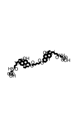 CCCC[C@@H](CC1C[C@@H]2CC[C@@]3(C)[C@H](CC[C@@H]3[C@H](C)CCC(=O)NCCS(=O)(=O)O)C2[C@@H](O)C1)OC(=O)CCCC(=O)O[C@H]1CC[C@@]2(C)C(C1)C[C@H](O)C1[C@H]3CC[C@H]([C@H](C)CCC(=O)NCCS(=O)(=O)O)[C@@]3(C)CC[C@H]12